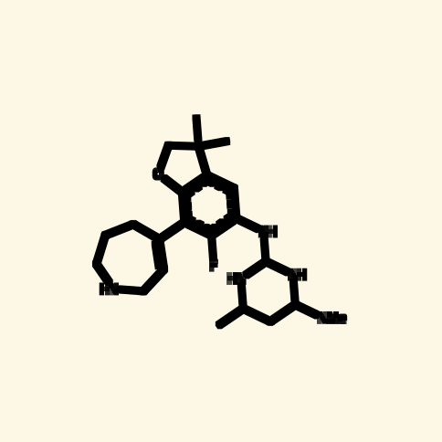 CNC1CC(C)NC(Nc2cc3c(c(C4=CCNCCC4)c2F)OCC3(C)C)N1